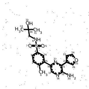 Cc1ccc(S(=O)(=O)NCC(C)(C)O)cc1-c1cnc(N)c(-c2ccoc2)n1